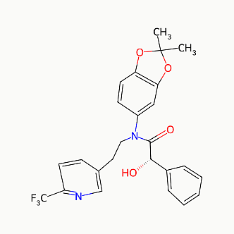 CC1(C)Oc2ccc(N(CCc3ccc(C(F)(F)F)nc3)C(=O)[C@@H](O)c3ccccc3)cc2O1